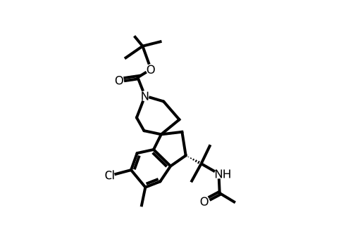 CC(=O)NC(C)(C)[C@H]1CC2(CCN(C(=O)OC(C)(C)C)CC2)c2cc(Cl)c(C)cc21